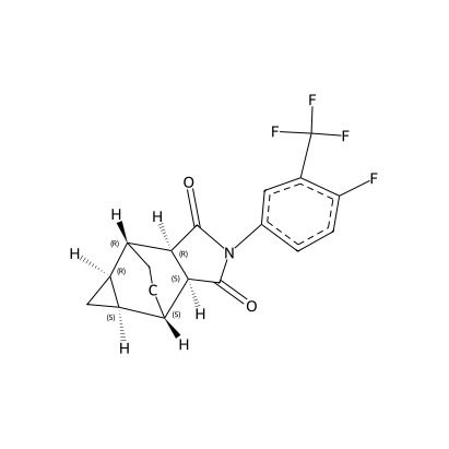 O=C1[C@@H]2[C@@H]3CC[C@@H]([C@H]4C[C@H]43)[C@@H]2C(=O)N1c1ccc(F)c(C(F)(F)F)c1